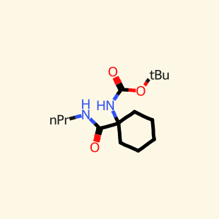 CCCNC(=O)C1(NC(=O)OC(C)(C)C)CCCCC1